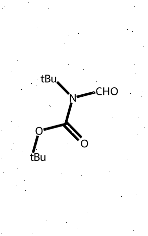 CC(C)(C)OC(=O)N(C=O)C(C)(C)C